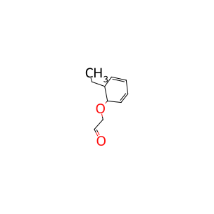 CCC1C=CC=CC1OCC=O